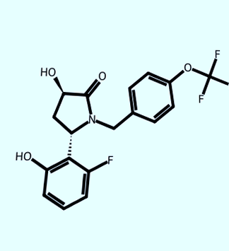 O=C1[C@H](O)C[C@@H](c2c(O)cccc2F)N1Cc1ccc(OC(F)(F)F)cc1